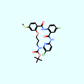 CSc1ccc(C(=O)Nc2ccc(F)cc2C(=O)Nc2ccc(Cl)cn2)c(OCCCNC(=O)OC(C)(C)C)c1